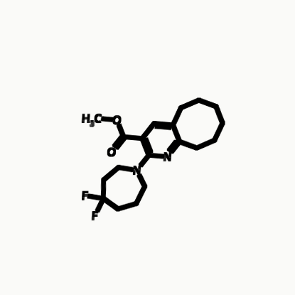 COC(=O)c1cc2c(nc1N1CCCC(F)(F)CC1)CCCCCC2